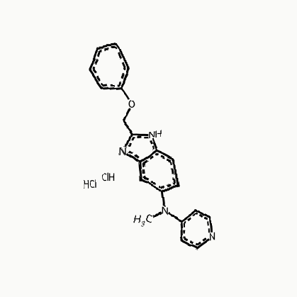 CN(c1ccncc1)c1ccc2[nH]c(COc3ccccc3)nc2c1.Cl.Cl